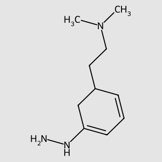 CN(C)CCC1C=CC=C(NN)C1